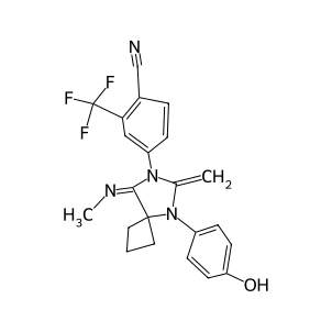 C=C1N(c2ccc(C#N)c(C(F)(F)F)c2)/C(=N/C)C2(CCC2)N1c1ccc(O)cc1